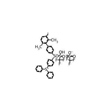 Cc1ccc(I)c(C)c1-c1ccc(Sc2ccc([S+](c3ccccc3)c3ccccc3)cc2)cc1.O=S(=O)(O)C(F)(F)F.O=S(=O)([O-])C(F)(F)F